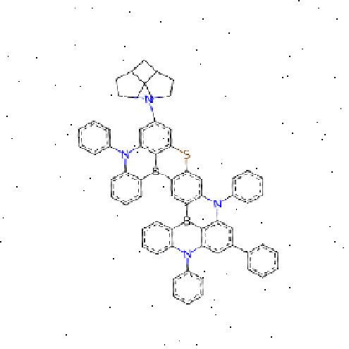 c1ccc(-c2cc3c4c(c2)N(c2ccccc2)c2cc5c(cc2B4c2ccccc2N3c2ccccc2)B2c3ccccc3N(c3ccccc3)c3cc(N4C6CC7CC8CC4CC78C6)cc(c32)S5)cc1